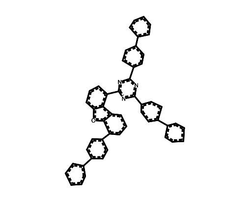 c1ccc(-c2ccc(-c3nc(-c4ccc(-c5ccccc5)cc4)nc(-c4cccc5oc6c(-c7ccc(-c8ccccc8)cc7)cccc6c45)n3)cc2)cc1